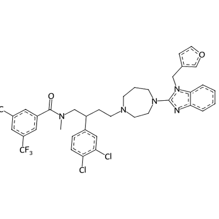 CN(CC(CCN1CCCN(c2nc3ccccc3n2Cc2ccoc2)CC1)c1ccc(Cl)c(Cl)c1)C(=O)c1cc(C(F)(F)F)cc(C(F)(F)F)c1